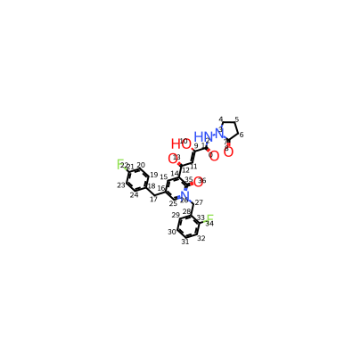 O=C(NN1CCCC1=O)C(O)=CC(=O)c1cc(Cc2ccc(F)cc2)cn(Cc2ccccc2F)c1=O